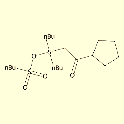 CCCCS(CCCC)(CC(=O)C1CCCC1)OS(=O)(=O)CCCC